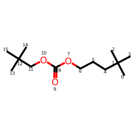 CC(C)(C)CCCOC(=O)OCC(C)(C)C